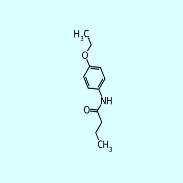 CCCC(=O)Nc1ccc(OCC)cc1